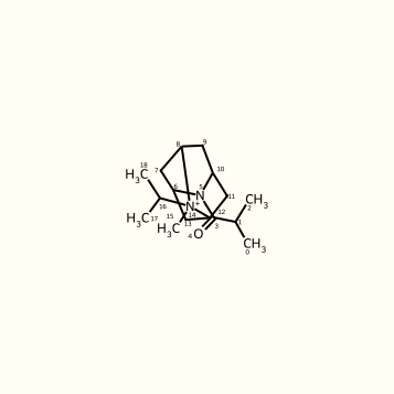 CC(C)C(=O)N1C2CC3CC1CC(C2)[N+]3(C)C(C)C